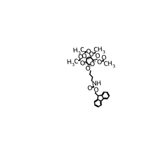 CC(=O)OC[C@H]1O[C@H](OCCCCNC(=O)OCC2c3ccccc3-c3ccccc32)[C@@H](OC(C)=O)[C@H](OC(C)=O)[C@H]1OC(C)=O